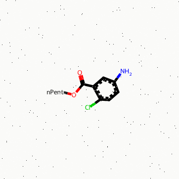 CCCCCOC(=O)c1cc(N)ccc1Cl